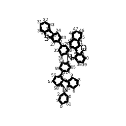 c1ccc(-n2c3ccccc3c3c(-c4ccc(N(c5ccc(-c6ccc7c(c6)sc6ccccc67)cc5)c5cccc6oc7c8ccccc8ccc7c56)cc4)cccc32)cc1